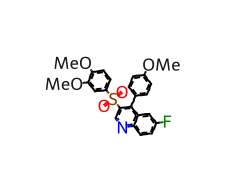 COc1ccc(-c2c(S(=O)(=O)c3ccc(OC)c(OC)c3)cnc3ccc(F)cc23)cc1